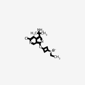 CC[S+]([O-])C1CC(Oc2ncc(C(C)(C)N)c3cc(Cl)ncc23)C1